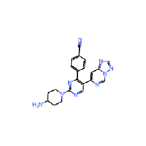 N#Cc1ccc(-c2nc(N3CCC(N)CC3)ncc2-c2cc3ncnn3cn2)cc1